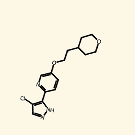 Clc1cn[nH]c1-c1ccc(OCCC2CCOCC2)cn1